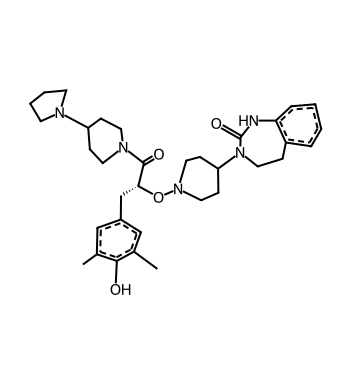 Cc1cc(C[C@@H](ON2CCC(N3CCc4ccccc4NC3=O)CC2)C(=O)N2CCC(N3CCCC3)CC2)cc(C)c1O